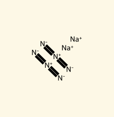 [N-]=[N+]=[N-].[N-]=[N+]=[N-].[Na+].[Na+]